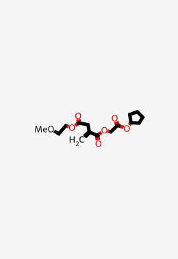 C=C(CC(=O)OCCOC)C(=O)OCC(=O)OC1CCCC1